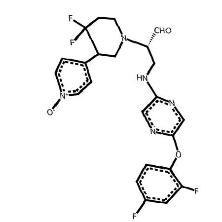 O=C[C@H](CNc1cnc(Oc2ccc(F)cc2F)cn1)N1CCC(F)(F)C(c2cc[n+]([O-])cc2)C1